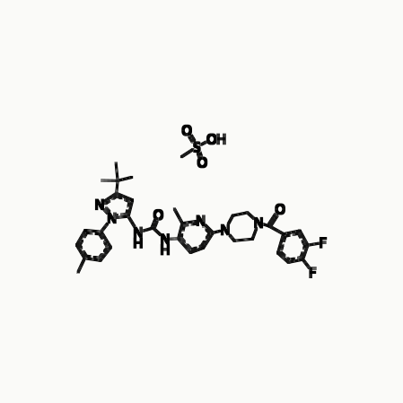 CS(=O)(=O)O.Cc1ccc(-n2nc(C(C)(C)C)cc2NC(=O)Nc2ccc(N3CCN(C(=O)c4ccc(F)c(F)c4)CC3)nc2C)cc1